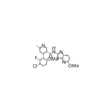 COc1ccc2nc(NC(=O)c3cnc(C)cc3-c3c(OC)ccc(Cl)c3F)sc2n1